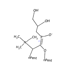 CCCCCO/C(C(CCCCC)[N+](C)(C)C)=[P+](\[O-])CC(O)CO